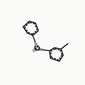 Cc1cccc(-n2on2-c2ccccc2)c1